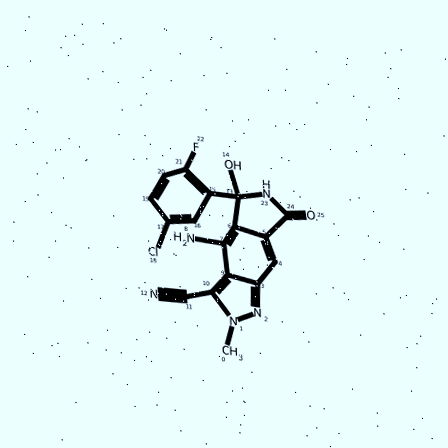 Cn1nc2cc3c(c(N)c2c1C#N)C(O)(c1cc(Cl)ccc1F)NC3=O